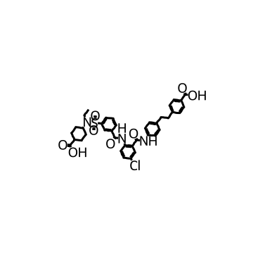 CCN(C1CCC(C(=O)O)CC1)S(=O)(=O)c1cccc(C(=O)Nc2ccc(Cl)cc2C(=O)Nc2ccc(CCc3ccc(C(=O)O)cc3)cc2)c1